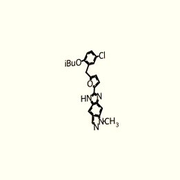 CC(C)COc1ccc(Cl)cc1Cc1ccc(-c2nc3cc4c(cnn4C)cc3[nH]2)o1